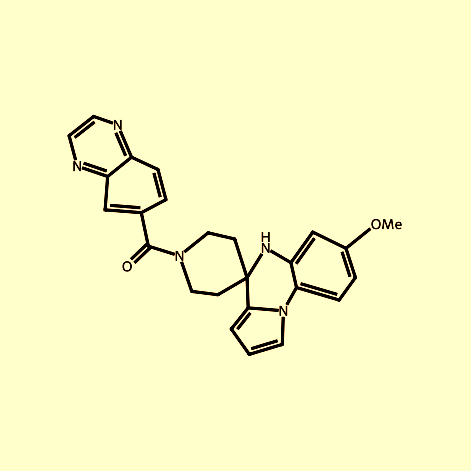 COc1ccc2c(c1)NC1(CCN(C(=O)c3ccc4nccnc4c3)CC1)c1cccn1-2